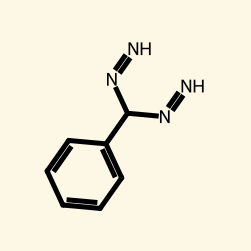 N=NC(N=N)c1ccccc1